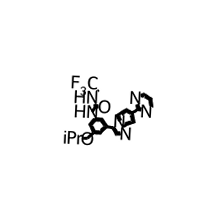 CC(C)Oc1cc(NC(=O)NCC(F)(F)F)cc(-c2cnc3cc(-c4ncccn4)ccn23)c1